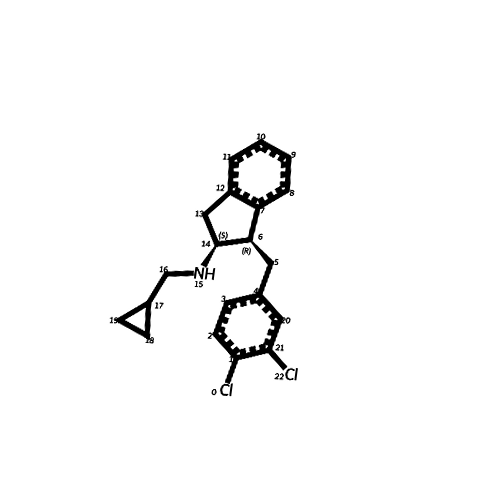 Clc1ccc(C[C@@H]2c3ccccc3C[C@@H]2NCC2CC2)cc1Cl